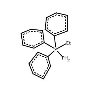 CCP(P)(c1ccccc1)(c1ccccc1)c1ccccc1